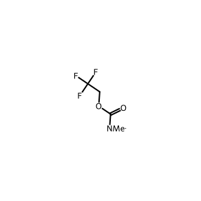 C[N]C(=O)OCC(F)(F)F